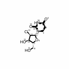 O=c1ccn([C@@H]2O[C@H](CO)[C@@H](O)[C@H]2Cl)c(=O)[nH]1